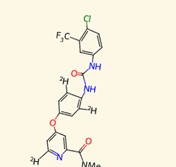 [2H]c1cc(Oc2cc([2H])c(NC(=O)Nc3ccc(Cl)c(C(F)(F)F)c3)c([2H])c2)cc(C(=O)NC)n1